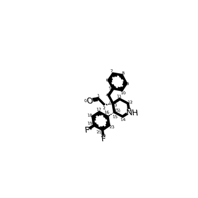 O=CC[C@]1(Cc2ccccc2)CCNC[C@@H]1c1ccc(F)c(F)c1